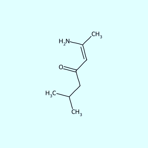 C/C(N)=C/C(=O)CC(C)C